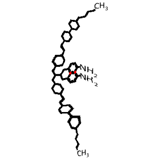 CCCCCC1CCC(C2CCC(/C=C/C3CCC(CC(CC4CCC(/C=C/C5CCC(C6CCC(CCCCC)CC6)CC5)CC4)C(Cc4ccc(N)cc4)Cc4ccc(N)cc4)CC3)CC2)CC1